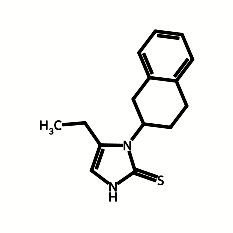 CCc1c[nH]c(=S)n1C1CCc2ccccc2C1